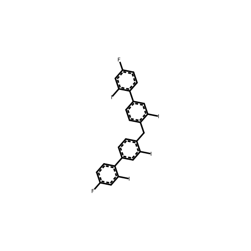 Fc1ccc(-c2ccc(Cc3ccc(-c4ccc(F)cc4I)cc3I)c(I)c2)c(I)c1